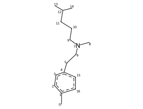 Cc1ccc(CCN(C)CCCC(C)C)cc1